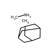 C.C1C2CC3CC1CC(C2)C3.CN